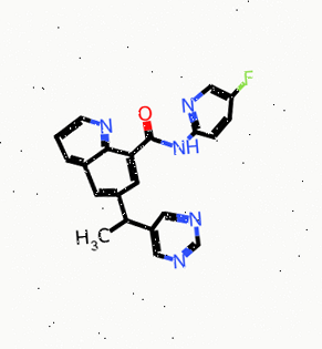 CC(c1cncnc1)c1cc(C(=O)Nc2ccc(F)cn2)c2ncccc2c1